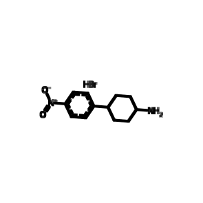 Br.NC1CCC(c2ccc([N+](=O)[O-])cc2)CC1